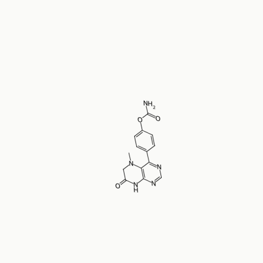 CN1CC(=O)Nc2ncnc(-c3ccc(OC(N)=O)cc3)c21